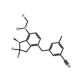 Cc1cc(C#N)cc(Cc2ccc([S+]([O-])CF)c3c2CC(F)(F)[C@H]3C)c1